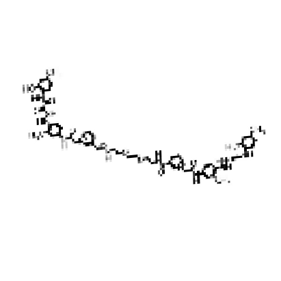 Cc1ccc(NC#CNNc2ccc(NC(=O)C[n+]3cccc(C(=O)NCCOCCOCCNOCc4ccc[n+](CC(=O)Nc5ccc(NNC(=O)C(=O)Nc6ccc(C)cc6O)c(C)c5)c4)c3)cc2C)c(O)c1